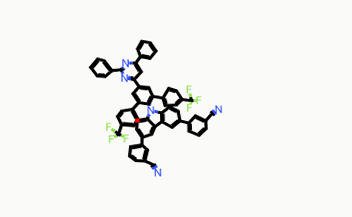 N#Cc1cccc(-c2ccc3c(c2)c2cc(-c4cccc(C#N)c4)ccc2n3-c2c(-c3ccc(C(F)(F)F)cc3)cc(-c3cc(-c4ccccc4)nc(-c4ccccc4)n3)cc2-c2ccc(C(F)(F)F)cc2)c1